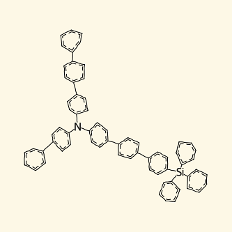 c1ccc(-c2ccc(-c3ccc(N(c4ccc(-c5ccccc5)cc4)c4ccc(-c5ccc(-c6ccc([Si](c7ccccc7)(c7ccccc7)c7ccccc7)cc6)cc5)cc4)cc3)cc2)cc1